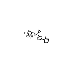 Cc1ccccc1-c1csc(N(N=Cc2ccc(F)cc2C(=O)O)C2CC2)n1